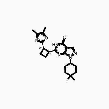 Cc1nc([C@@H]2CC[C@@H]2c2nc3c(cnn3C3CCC(C)(F)CC3)c(=O)[nH]2)oc1C